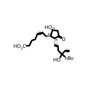 C=CC(O)(C/C=C/[C@H]1C(=O)C[C@H](O)[C@@H]1C/C=C\CCCC(=O)O)CCCC